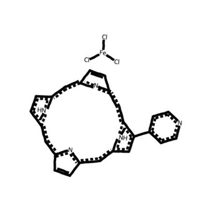 C1=Cc2cc3cc(-c4ccncc4)c(cc4nc(cc5ccc(cc1n2)[nH]5)C=C4)[nH]3.[Cl][Fe]([Cl])[Cl]